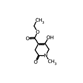 CCOC(=O)C1=C(O)CN(C)C(=O)C1